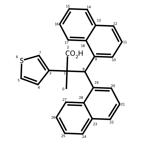 CC(C(=O)O)(c1ccsc1)C(c1cccc2ccccc12)c1cccc2ccccc12